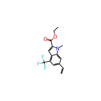 C=Cc1cc(C(F)(F)F)c2cc(C(=O)OCC)n(C)c2c1